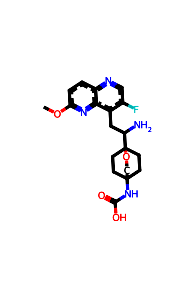 COc1ccc2ncc(F)c(CC(N)C34CCC(NC(=O)O)(CC3)CO4)c2n1